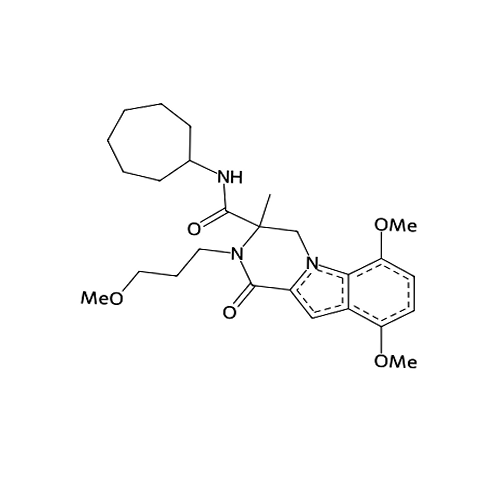 COCCCN1C(=O)c2cc3c(OC)ccc(OC)c3n2CC1(C)C(=O)NC1CCCCCC1